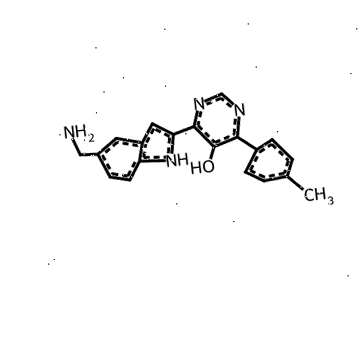 Cc1ccc(-c2ncnc(-c3cc4cc(CN)ccc4[nH]3)c2O)cc1